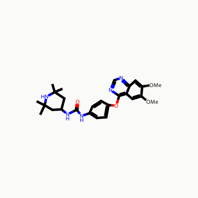 COc1cc2ncnc(Oc3ccc(NC(=O)NC4CC(C)(C)NC(C)(C)C4)cc3)c2cc1OC